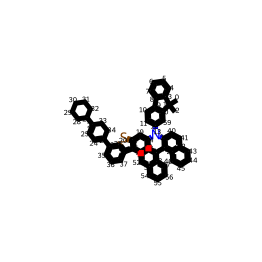 CC1(C)c2ccccc2-c2ccc(N(c3ccc4c(c3)sc3c(C5=CC=C(C6CCCCC6)CC5)cccc34)c3ccc4ccccc4c3-c3cccc4ccccc34)cc21